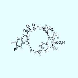 Cc1cc(CN2CCCCOC3(C)CCN(CC3)c3c([C@H](OC(C)(C)C)C(=O)O)c(C)nc4cc(nn34)CNC(=O)C2=O)ccc1F